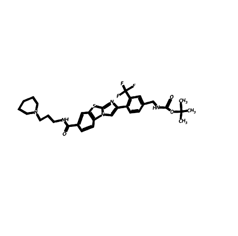 CC(C)(C)OC(=O)NCc1ccc(-c2cn3c(n2)sc2cc(C(=O)NCCCN4CCCCC4)ccc23)c(C(F)(F)F)c1